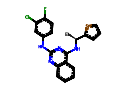 CC[C@@H](Nc1nc(Nc2ccc(F)c(Cl)c2)nc2ccccc12)c1cccs1